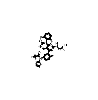 Cc1ccc(N(C(=O)C(F)(F)F)c2nccs2)cc1-c1nc(NC[C@@H](C)O)nc2c1CNC(=O)N2c1c(F)cccc1F